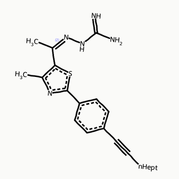 CCCCCCCC#Cc1ccc(-c2nc(C)c(/C(C)=N\NC(=N)N)s2)cc1